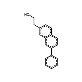 OCCc1ccc2ccc(-c3ccccc3)nc2c1